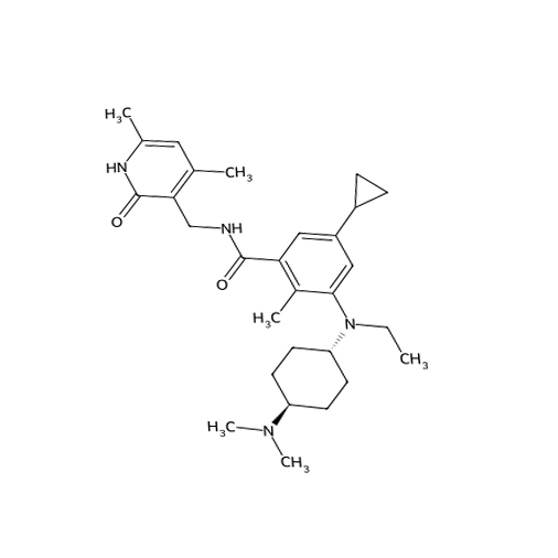 CCN(c1cc(C2CC2)cc(C(=O)NCc2c(C)cc(C)[nH]c2=O)c1C)[C@H]1CC[C@H](N(C)C)CC1